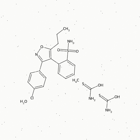 C.CCCc1onc(-c2ccc(Cl)cc2)c1-c1ccccc1S(N)(=O)=O.NC(O)=S.NC(O)=S.O